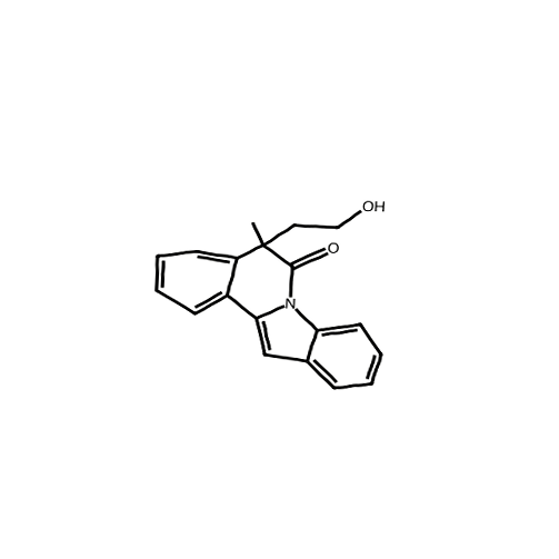 CC1(CCO)C(=O)n2c(cc3ccccc32)-c2ccccc21